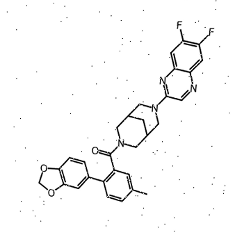 Cc1ccc(-c2ccc3c(c2)OCO3)c(C(=O)N2CC3CC(C2)CN(c2cnc4cc(F)c(F)cc4n2)C3)c1